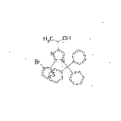 CC(O)c1cn(C(c2ccccc2)(c2ccccc2)c2ccccc2)c(-c2sccc2Br)n1